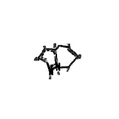 [C]1=Cc2c[c]nn2C1